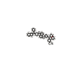 N#Cc1ccc(N(c2ccccc2)c2ccc3c(c2)Oc2ccc4c5c(ccc-3c25)OC2CC(N(c3ccccc3)c3ccc5ccccc5c3)=CC=C42)c(-c2ccccc2)c1